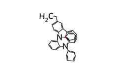 C=Cc1ccc2c(c1)c1ccccc1n2-c1ccccc1N(c1ccccc1)c1ccccc1